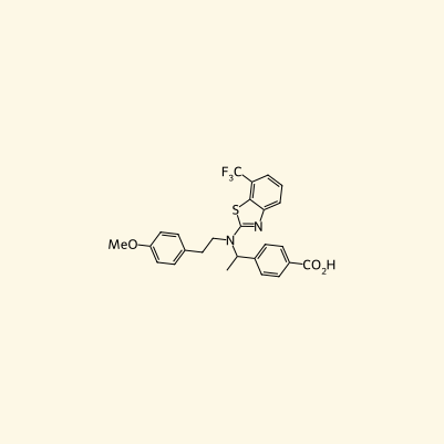 COc1ccc(CCN(c2nc3cccc(C(F)(F)F)c3s2)C(C)c2ccc(C(=O)O)cc2)cc1